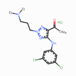 CCN(CC)CCCn1nc(Nc2cc(Cl)cc(Cl)c2)c(C(=O)OC)n1.Cl